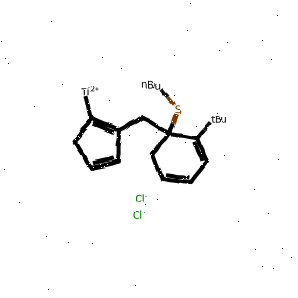 CCCCSC1(CC2=[C]([Ti+2])CC=C2)CC=CC=C1C(C)(C)C.[Cl-].[Cl-]